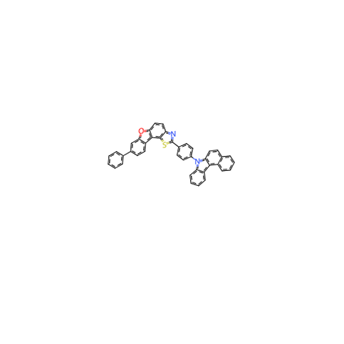 c1ccc(-c2ccc3c(c2)oc2ccc4nc(-c5ccc(-n6c7ccccc7c7c8ccccc8ccc76)cc5)sc4c23)cc1